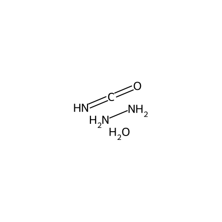 N=C=O.NN.O